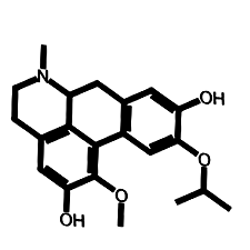 COc1c(O)cc2c3c1-c1cc(OC(C)C)c(O)cc1CC3N(C)CC2